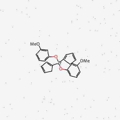 COc1cccc([O][Zr]([O]c2cccc(OC)c2)([C]2=CC=CC2)[C]2=CC=CC2)c1